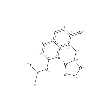 O=c1ccc2ccc(OC(F)F)cc2n1CC1OCCO1